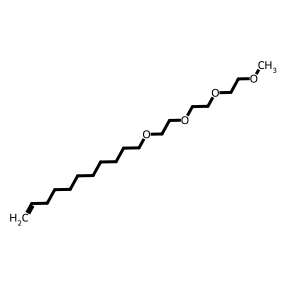 C=CCCCCCCCCCOCCOCCOCCOC